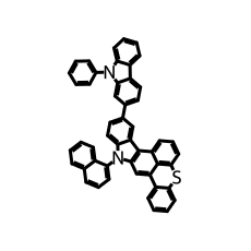 c1ccc(-n2c3ccccc3c3ccc(-c4ccc5c(c4)c4c6cccc7c6c(cc4n5-c4cccc5ccccc45)-c4ccccc4S7)cc32)cc1